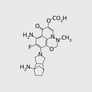 CN1COc2c(N3CC4C5CCC(N)(C5)C4C3)c(F)c(N)c3c(=O)c(OC(=O)O)cn1c23